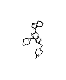 CN1CCN(Cc2cc3c(N4CCOCC4)nc(-n4ncc5ccccc54)nc3s2)CC1